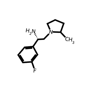 CC1CCCN1C[C@@H](N)c1cccc(F)c1